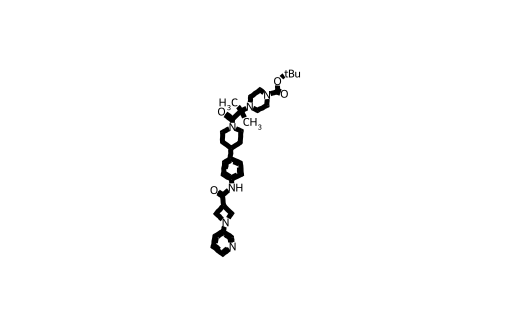 CC(C)(C)OC(=O)N1CCN(C(C)(C)C(=O)N2CCC(c3ccc(NC(=O)C4CN(c5cccnc5)C4)cc3)CC2)CC1